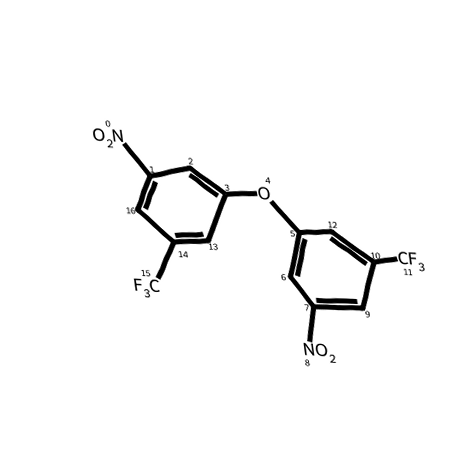 O=[N+]([O-])c1cc(Oc2cc([N+](=O)[O-])cc(C(F)(F)F)c2)cc(C(F)(F)F)c1